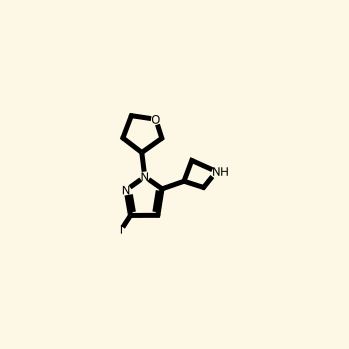 Ic1cc(C2CNC2)n(C2CCOC2)n1